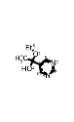 CCOC(C)(O)c1cncnc1